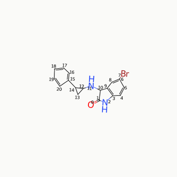 O=C1Nc2ccc(Br)cc2C1NC1CC1c1ccccc1